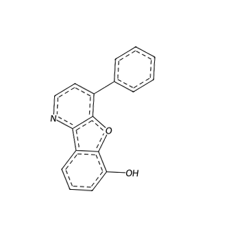 Oc1cccc2c1oc1c(-c3ccccc3)ccnc12